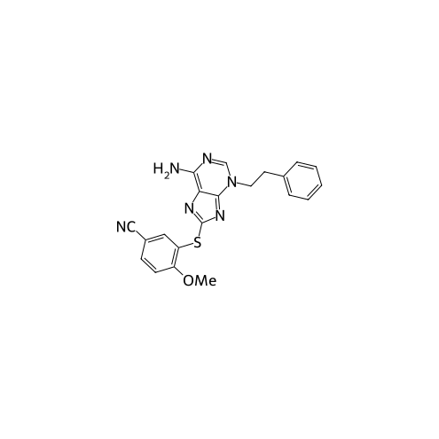 COc1ccc(C#N)cc1Sc1nc2c(N)ncn(CCc3ccccc3)c-2n1